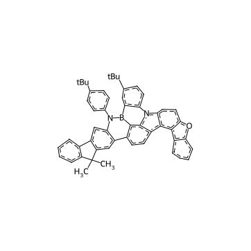 CC(C)(C)c1ccc(N2B3c4cc(C(C)(C)C)ccc4-n4c5ccc6oc7ccccc7c6c5c5ccc(c3c54)-c3cc4c(cc32)-c2ccccc2C4(C)C)cc1